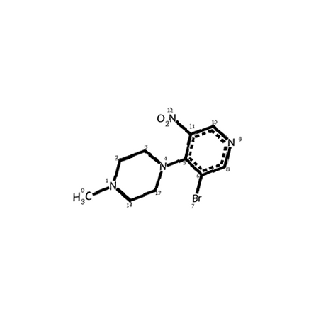 CN1CCN(c2c(Br)cncc2[N+](=O)[O-])CC1